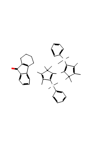 CC1=C(C)C(C)(C)[C]([Ca][C]2=C([Si](C)(C)c3ccccc3)C(C)=C(C)C2(C)C)=C1[Si](C)(C)c1ccccc1.O=C1C2=C(CCCC2)c2ccccc21